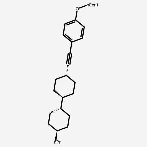 CCCCCOc1ccc(C#C[C@H]2CC[C@H]([C@H]3CC[C@H](CCC)CC3)CC2)cc1